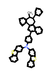 CC1c2ccccc2-c2cc(-c3ccc(N(c4ccc5sc6ccccc6c5c4)c4ccc5sc6ccccc6c5c4)cc3)c3ccccc3c2CC1c1ccccc1